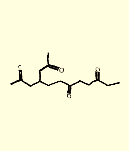 CCC(=O)CCC(=O)CCC(CC(C)=O)CC(C)=O